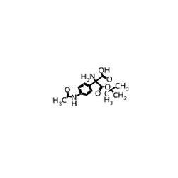 CC(=O)Nc1ccc(C(N)(C(=O)O)C(=O)OC(C)(C)C)cc1